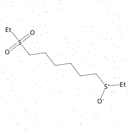 CC[S+]([O-])CCCCCCS(=O)(=O)CC